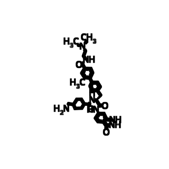 CCN(CC)CCNC(=O)c1ccc(-c2ccc(C[C@H](NC(=O)C3CCC(CN)CC3)C(=O)Nc3ccc4c(=O)[nH][nH]c4c3)cc2)c(C)c1